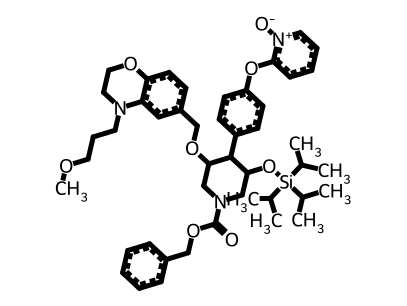 COCCCN1CCOc2ccc(COC3CN(C(=O)OCc4ccccc4)CC(O[Si](C(C)C)(C(C)C)C(C)C)C3c3ccc(Oc4cccc[n+]4[O-])cc3)cc21